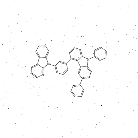 c1ccc(-c2ccc3c(c2)c2c(-c4cccc(-n5c6ccccc6c6cccnc65)c4)cccc2n3-c2ccccc2)cc1